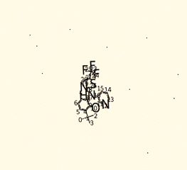 CC(C)(C)c1ccccc1Oc1ncccc1Nc1ncc(C(F)(F)F)s1